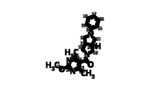 COc1nc(C)c(C(=O)N2CC3CN(c4c[c]ccc4)C[C@H]3C2)c(C)n1